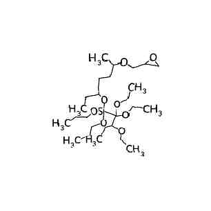 CCCO[Si](OCCC)(OC(CC)CCC(C)OCC1CO1)C(OCC)(OCC)C(CC)OCC